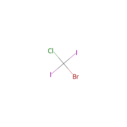 ClC(Br)(I)I